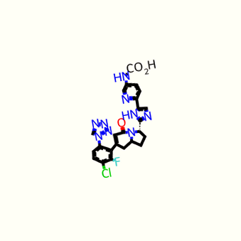 O=C(O)Nc1ccc(-c2cnc([C@@H]3CCC4CC(c5c(-n6cnnn6)ccc(Cl)c5F)=CC(=O)N43)[nH]2)nc1